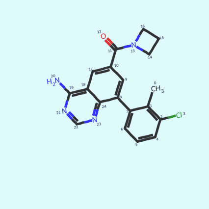 Cc1c(Cl)cccc1-c1cc(C(=O)N2CCC2)cc2c(N)ncnc12